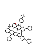 CC(C)(C)c1ccc(N2c3ccc4cc3B3c5c2cc(-c2ccccc2)cc5-n2c5cc(-c6ccccc6)ccc5c5cc6c(-c7ccccc7)c7cccc(c7c(-c7ccccc7)c6c3c52)C4(C)C)cc1